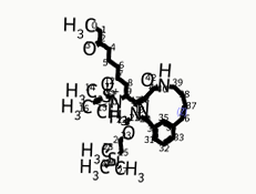 CCC(=O)CCCCCC(N[S@+]([O-])C(C)(C)C)c1c2nc(n1COCC[Si](C)(C)C)-c1cccc(c1)/C=C\CCNC2=O